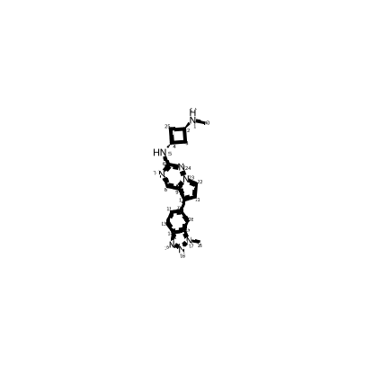 CN[C@H]1C[C@H](Nc2ncc3c(-c4ccc5nnn(C)c5c4)ccn3n2)C1